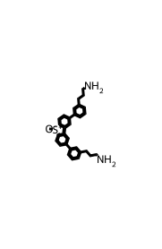 NCCCc1cccc(-c2ccc3c(c2)c2cc(-c4cccc(CCCN)c4)ccc2[s+]3[O-])c1